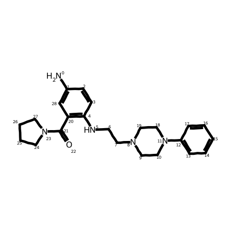 Nc1ccc(NCCN2CCN(c3ccccc3)CC2)c(C(=O)N2CCCC2)c1